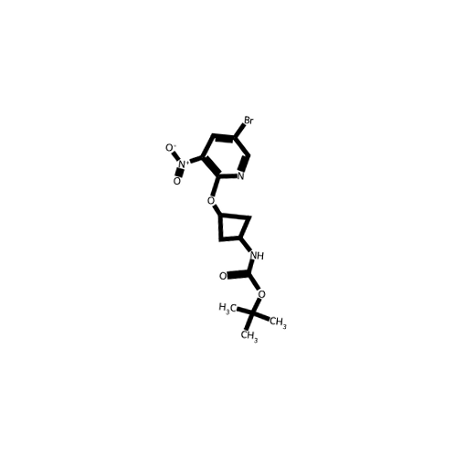 CC(C)(C)OC(=O)NC1CC(Oc2ncc(Br)cc2[N+](=O)[O-])C1